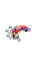 CC(C)OC(=O)[C@@H](C)NP(=O)(OCCSC(=O)C(C)(C)C)OC[C@H]1S[C@@H](N2C=CC(=O)NC2O)[C@H](O)[C@@H]1O